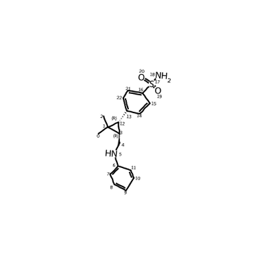 CC1(C)[C@H](CNc2ccccc2)[C@H]1c1ccc(S(N)(=O)=O)cc1